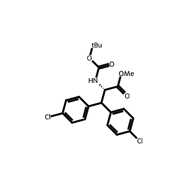 COC(=O)[C@@H](NC(=O)OC(C)(C)C)C(c1ccc(Cl)cc1)c1ccc(Cl)cc1